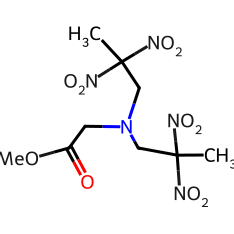 COC(=O)CN(CC(C)([N+](=O)[O-])[N+](=O)[O-])CC(C)([N+](=O)[O-])[N+](=O)[O-]